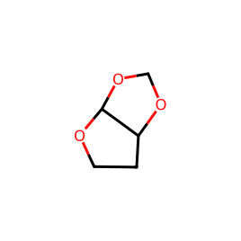 C1CC2OCOC2O1